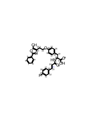 Cc1oc(-c2ccccc2)nc1CCOc1ccc(C[C@H](NC(=O)/C=C/c2ccc(F)cc2)C(=O)O)cc1